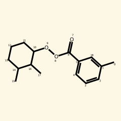 Cc1cccc(C(=O)OO[C]2CCCC(C)C2C)c1